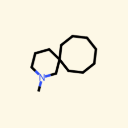 CN1CCCC2(CCCCCCC2)C1